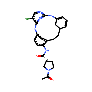 CC(=O)N1CC[C@@H](C(=O)Nc2ccc3cc2CCC2C=CC=C(C2)Nc2ncc(Cl)c(n2)N3)C1